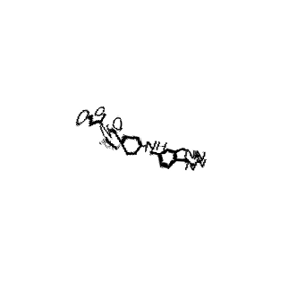 C[C@H]1C[C@]2(CC[C@H](NCc3ccc4c(c3)Cn3nnnc3-4)CC2)C(=O)N1C1=CC(=O)OC1